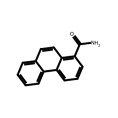 NC(=O)c1cccc2c1ccc1ccccc12